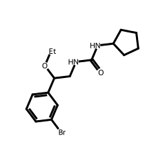 CCOC(CNC(=O)NC1CCCC1)c1cccc(Br)c1